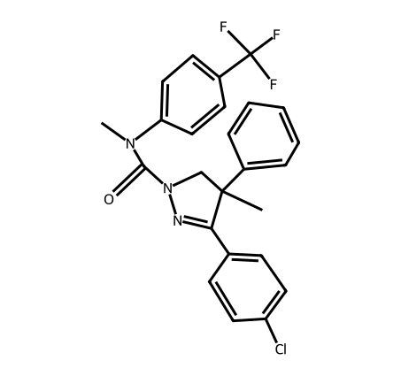 CN(C(=O)N1CC(C)(c2ccccc2)C(c2ccc(Cl)cc2)=N1)c1ccc(C(F)(F)F)cc1